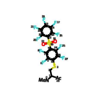 CNC(CSc1c(F)c(F)c(S(=O)(=O)c2c(F)c(F)c(F)c(F)c2F)c(F)c1F)C(C)=O